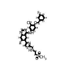 CS(=O)(=O)CCNCc1nc(-c2cc3c(Nc4ccc(OCc5cccc(F)c5)c(Cl)c4)ncnc3cc2F)cs1